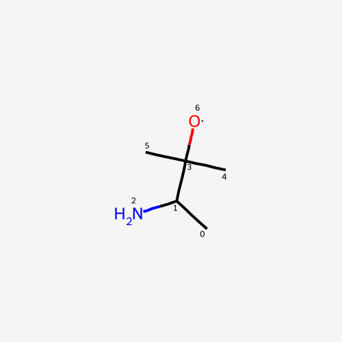 CC(N)C(C)(C)[O]